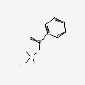 O=C(O[Si](O)(O)O)c1ccccc1